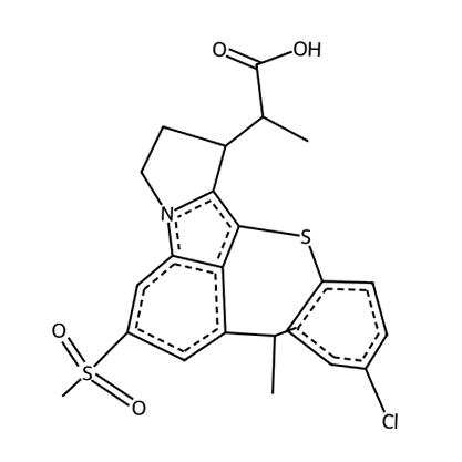 CC(C)c1cc(S(C)(=O)=O)cc2c1c(Sc1ccc(Cl)cc1)c1n2CCC1C(C)C(=O)O